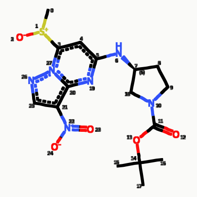 C[S+]([O-])c1cc(N[C@H]2CCN(C(=O)OC(C)(C)C)C2)nc2c([N+](=O)[O-])cnn12